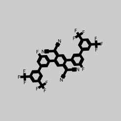 N#CC(C#N)=c1cc(-c2cc(F)cc(-c3cc(C(F)(F)F)cc(C(F)(F)F)c3)c2)c(=C(C#N)C#N)cc1-c1cc(F)cc(-c2cc(C(F)(F)F)cc(C(F)(F)F)c2)c1